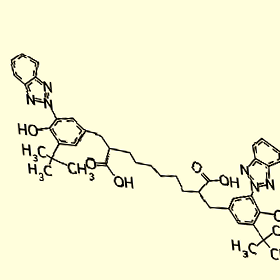 CC(C)(C)c1cc(CC(CCCCCCC(Cc2cc(-n3nc4ccccc4n3)c(O)c(C(C)(C)C)c2)C(=O)O)C(=O)O)cc(-n2nc3ccccc3n2)c1O